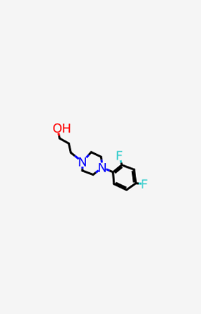 OCCCN1CCN(c2ccc(F)cc2F)CC1